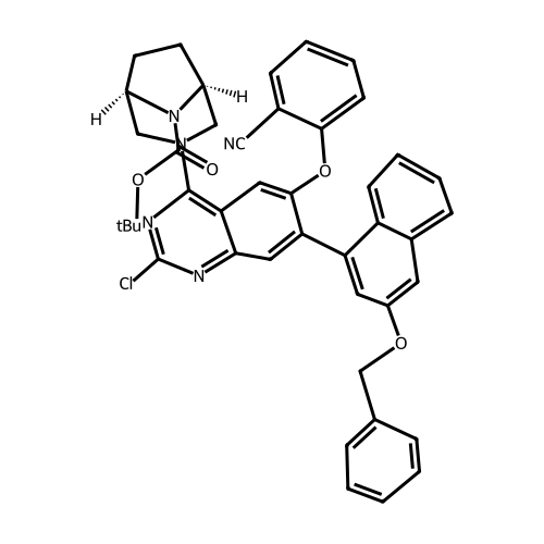 CC(C)(C)OC(=O)N1[C@@H]2CC[C@H]1CN(c1nc(Cl)nc3cc(-c4cc(OCc5ccccc5)cc5ccccc45)c(Oc4ccccc4C#N)cc13)C2